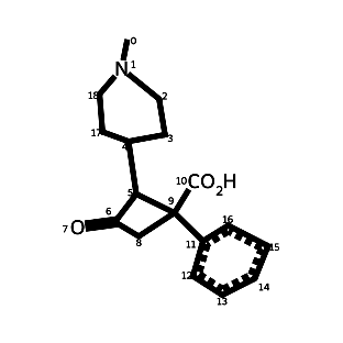 CN1CCC(C2C(=O)CC2(C(=O)O)c2ccccc2)CC1